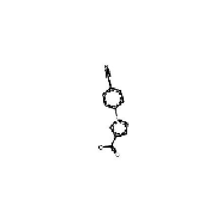 N#Cc1ccc(-n2ccc(C(=O)O)c2)cc1